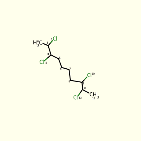 CC(Cl)C(Cl)CCCCC(Cl)C(C)Cl